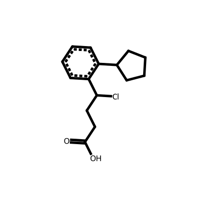 O=C(O)CCC(Cl)c1ccccc1C1CCCC1